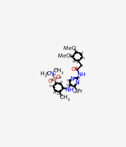 COc1ccc(CC(=O)Nc2ncc(Nc3cc(S(=O)(=O)N(C)C)ccc3C)c(C(C)C)n2)cc1OC